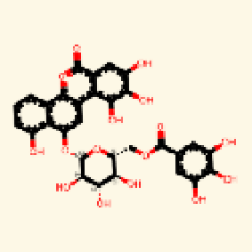 O=C(OC[C@H]1O[C@@H](Oc2cc3c(oc(=O)c4cc(O)c(O)c(O)c43)c3cccc(O)c23)[C@H](O)[C@@H](O)[C@@H]1O)c1cc(O)c(O)c(O)c1